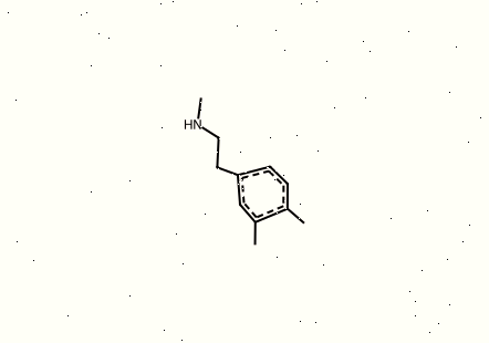 CNCCc1ccc(C)c(C)c1